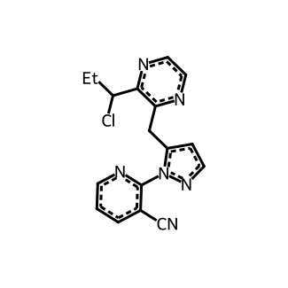 CCC(Cl)c1nccnc1Cc1ccnn1-c1ncccc1C#N